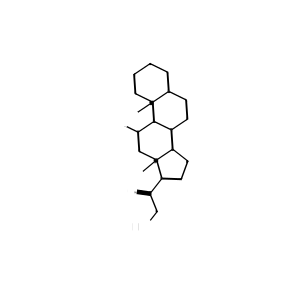 CC12CC(O)C3C(CCC4CCCCC43C)C1CCC2C(=O)CO